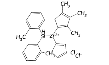 CC1=C(C)C(C)=[C]([Zr+2]([C]2=CC=CC2)[SiH](c2ccccc2C)c2ccccc2C)C1.[Cl-].[Cl-]